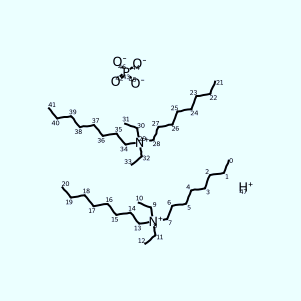 CCCCCCCC[N+](CC)(CC)CCCCCCCC.CCCCCCCC[N+](CC)(CC)CCCCCCCC.O=P([O-])([O-])[O-].[H+]